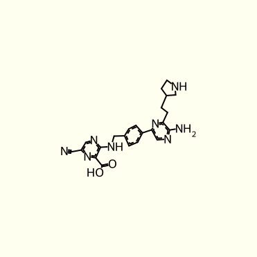 N#Cc1cnc(NCc2ccc(-c3cnc(N)c(CCC4CCNC4)n3)cc2)c(C(=O)O)n1